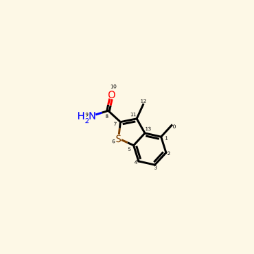 Cc1cccc2sc(C(N)=O)c(C)c12